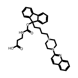 O=C(O)CCNC(=O)OC1(CCCCN2CCN(c3ccc4ccccc4n3)CC2)c2ccccc2-c2ccccc21